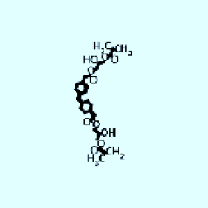 C=C(C)C(=O)OCC(O)COC(=O)CC1CCC(CC2CCC(CC(=O)OCC(O)COC(=O)C(=C)C)CC2)CC1